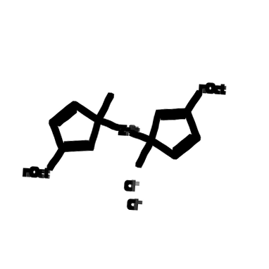 CCCCCCCCC1=C[C](C)([Zr+2][C]2(C)C=CC(CCCCCCCC)=C2)C=C1.[Cl-].[Cl-]